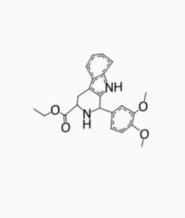 CCOC(=O)C1Cc2c([nH]c3ccccc23)C(c2ccc(OC)c(OC)c2)N1